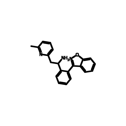 Cc1cccc(CC(N)c2ccccc2-c2noc3ccccc23)n1